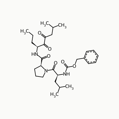 CCC[C@H](NC(=O)[C@@H]1CCCN1C(=O)[C@H](CC(C)C)NC(=O)OCc1ccccc1)C(=O)C(=O)CC(C)C